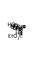 CCOC(=O)CNCc1cccc(CN2CCCC2)c1.O=C(O)C(=O)O.O=C(O)C(=O)O